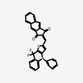 O=C1C(=Cc2cc3c(s2)C(F)(F)c2ccccc2N3c2ccccc2)C(=O)c2cc3ccccc3cc21